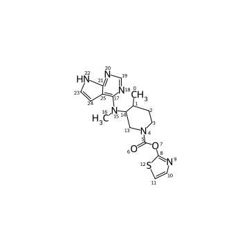 CC1CCN(C(=O)Oc2nccs2)CC1N(C)c1ncnc2[nH]ccc12